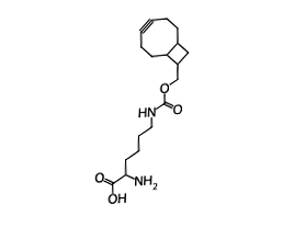 NC(CCCCNC(=O)OCC1CC2CCC#CCCC21)C(=O)O